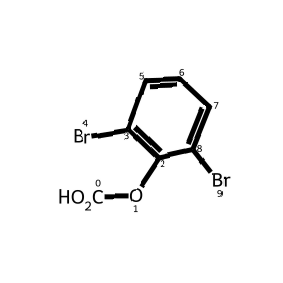 O=C(O)Oc1c(Br)cccc1Br